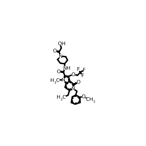 CCc1cc2c(c(OCC(F)(F)F)c(C(=O)NC3CCN(C(=O)CO)CC3)n2C)c(=O)n1Cc1ccccc1OC